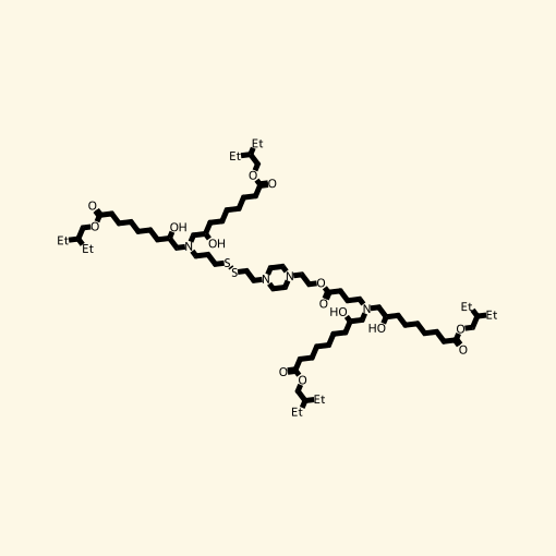 CCC(CC)COC(=O)CCCCCCC(O)CN(CCCSSCCN1CCN(CCOC(=O)CCCN(CC(O)CCCCCCC(=O)OCC(CC)CC)CC(O)CCCCCCC(=O)OCC(CC)CC)CC1)CC(O)CCCCCCC(=O)OCC(CC)CC